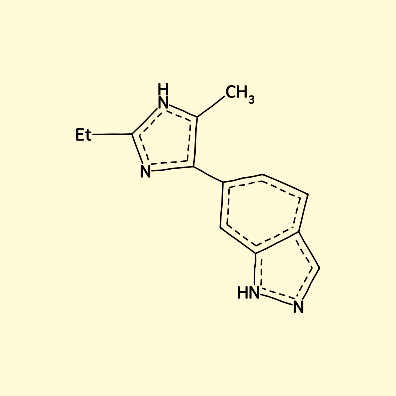 CCc1nc(-c2ccc3cn[nH]c3c2)c(C)[nH]1